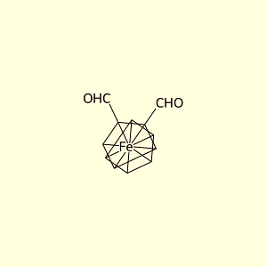 O=C[C]12[CH]3[CH]4[CH]5[C]1(C=O)[Fe]43521678[CH]2[CH]1[CH]6[CH]7[CH]28